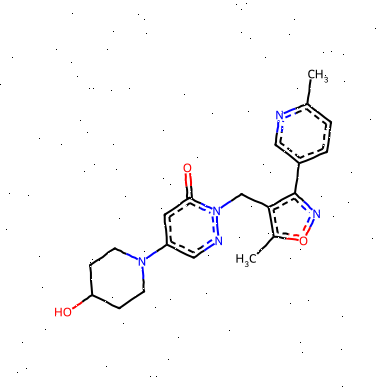 Cc1ccc(-c2noc(C)c2Cn2ncc(N3CCC(O)CC3)cc2=O)cn1